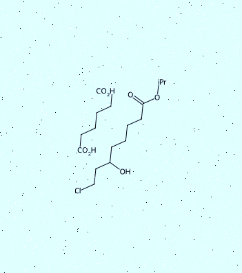 CC(C)OC(=O)CCCCC(O)CCCl.O=C(O)CCCCC(=O)O